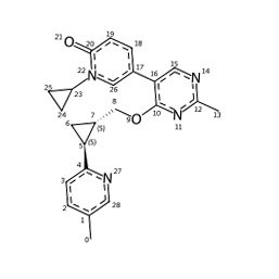 Cc1ccc([C@H]2C[C@@H]2COc2nc(C)ncc2-c2ccc(=O)n(C3CC3)c2)nc1